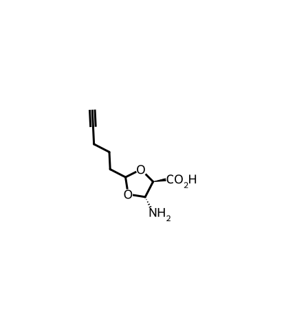 C#CCCCC1O[C@@H](N)[C@H](C(=O)O)O1